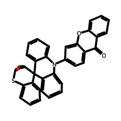 O=c1c2ccccc2oc2cc(N3c4ccccc4C4(c5ccccc5Sc5ccccc54)c4ccccc43)ccc12